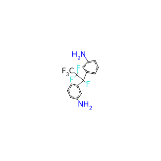 Nc1cccc(C(F)(c2cccc(N)c2)C(F)(F)C(F)(F)F)c1